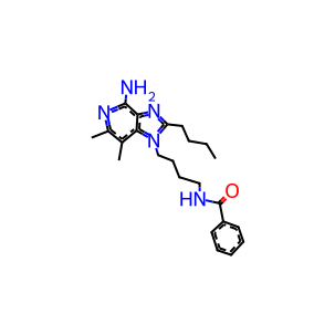 CCCCc1nc2c(N)nc(C)c(C)c2n1CCCCNC(=O)c1ccccc1